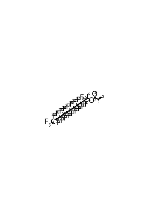 C=CC(=O)OC(C)C(F)(F)C(F)(F)C(F)(F)C(F)(F)C(F)(F)C(F)(F)C(F)(F)C(F)(F)C(F)(F)C(F)(F)F